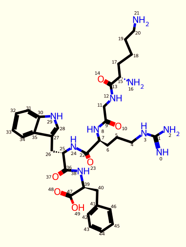 N=C(N)NCCC[C@H](NC(=O)CNC(=O)[C@@H](N)CCCCN)C(=O)N[C@@H](Cc1c[nH]c2ccccc12)C(=O)N[C@@H](Cc1ccccc1)C(=O)O